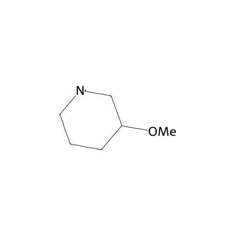 COC1CCC[N]C1